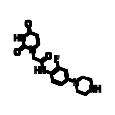 O=C(Cn1ccc(=O)[nH]c1=O)Nc1ccc(N2CCNCC2)cc1F